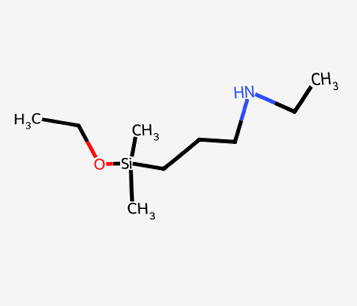 CCNCCC[Si](C)(C)OCC